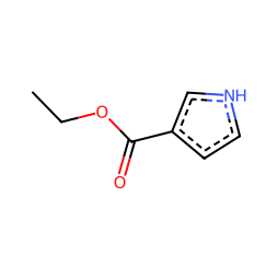 CCOC(=O)c1cc[nH]c1